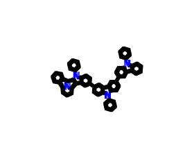 c1ccc(-n2c3ccccc3c3cc(-c4ccc5c(c4)c4cc(-c6ccc7c(c6)c6c(c8c9ccccc9c9cccc6n98)n7-c6ccccc6)ccc4n5-c4ccccc4)ccc32)cc1